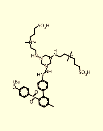 Cc1ccc(S(=O)(=O)c2ccc(OC(C)(C)C)cc2)c(-c2ccc(NNN3CN(NCC[N+](C)(C)CCCS(=O)(=O)O)CN(NCC[N+](C)(C)CCCS(=O)(=O)O)C3)cc2)c1